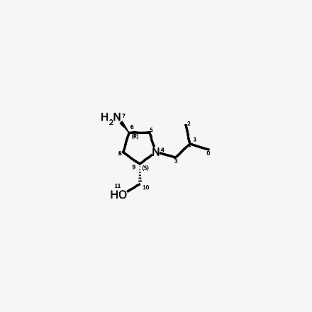 C[C](C)CN1C[C@H](N)C[C@H]1CO